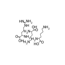 N=C(N)NCCCC(N)C(=O)O.NCCCC(N)C(=O)O.NCCCCC(N)C(=O)O